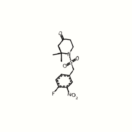 CC1(C)CC(=O)CCN1S(=O)(=O)Cc1ccc(F)c([N+](=O)[O-])c1